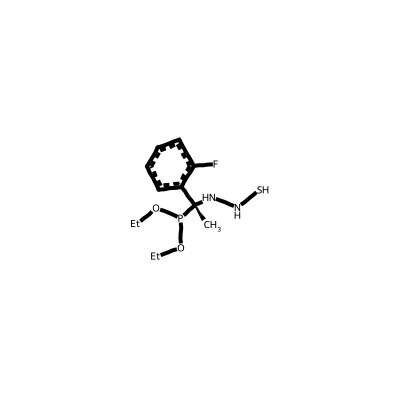 CCOP(OCC)[C@@](C)(NNS)c1ccccc1F